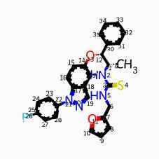 C[C@H](NC(=S)NCc1ccco1)[C@H](Oc1ccc2c(cnn2-c2ccc(F)cc2)c1)c1ccccc1